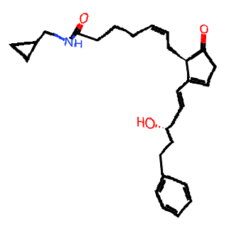 O=C(CCC/C=C\C[C@H]1C(=O)CC=C1/C=C/[C@@H](O)CCc1ccccc1)NCC1CC1